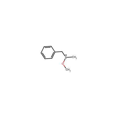 CO[SiH](C)Cc1ccccc1